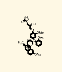 CC(=O)Oc1ccccc1C(=O)O.COc1ccc2c(c1)[C@]13CCCC[C@@H]1[C@H](C2)N(C)CC3.COc1ccccc1OCC(O)COC(N)=O